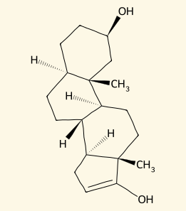 C[C@]12C[C@H](O)CC[C@@H]1CC[C@@H]1[C@@H]2CC[C@]2(C)C(O)=CC[C@@H]12